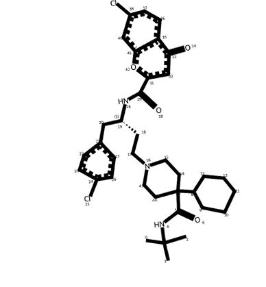 CC(C)(C)NC(=O)C1(C2CCCCC2)CCN(CC[C@H](Cc2ccc(Cl)cc2)NC(=O)c2cc(=O)c3ccc(Cl)cc3o2)CC1